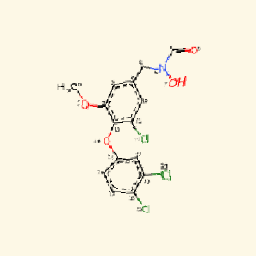 COc1cc(CN(O)C=O)cc(Cl)c1Oc1ccc(Cl)c(Cl)c1